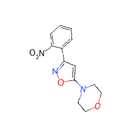 O=[N+]([O-])c1ccccc1-c1cc(N2CCOCC2)on1